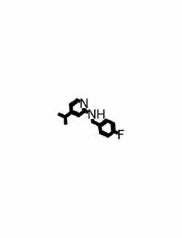 CC(C)c1ccnc(NCc2ccc(F)cc2)c1